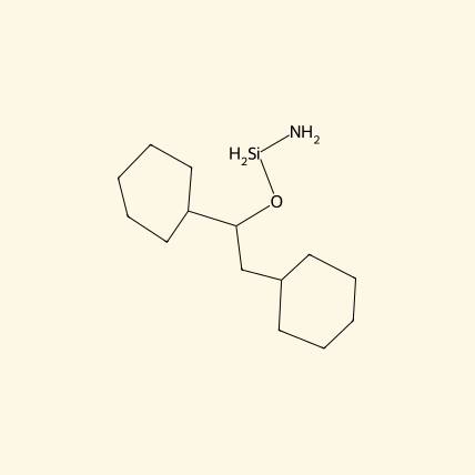 N[SiH2]OC(CC1CCCCC1)C1CCCCC1